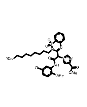 CCCCCCCCCCCCCCCCCCN1C(C(C(=O)Nc2cc(Cl)ccc2OC)n2cnc(C(=O)OC)c2)=Nc2ccccc2S1(=O)=O